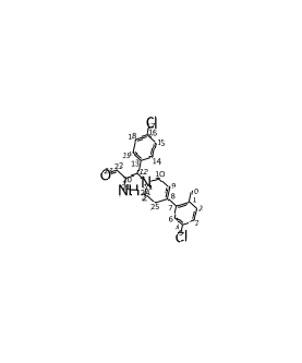 Cc1ccc(Cl)cc1C1=CCN(C(c2ccc(Cl)cc2)C(N)C=O)CC1